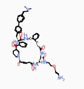 CN(C)CCc1ccc(-c2ccc(C[C@@H]3NC(=O)[C@]4(Cc5ccccc5)CCCN(C4)C(=O)/C=C/C(=O)NCC[C@@H](C(=O)NCCOCCN)NC(=O)Cc4ccccc4CNC3=O)cc2)cc1